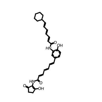 O=C(/C=C/C=C/C=C/c1ccc(O)c(NC(=O)/C=C/C=C/C=C/C2CCCCC2)c1)NC1=C(O)CCC1=O